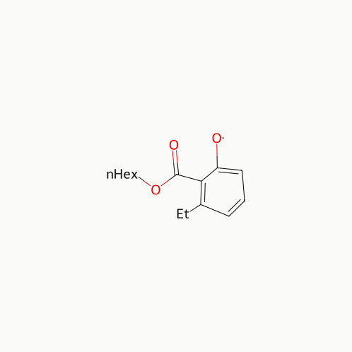 CCCCCCOC(=O)c1c([O])cccc1CC